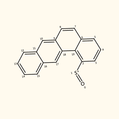 O=[S+]c1cccc2ccc3cc4ccccc4cc3c12